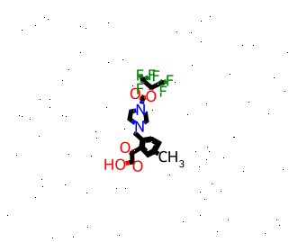 Cc1ccc(CN2CCN(C(=O)OC(C(F)(F)F)C(F)(F)F)CC2)c(C(=O)C(=O)O)c1